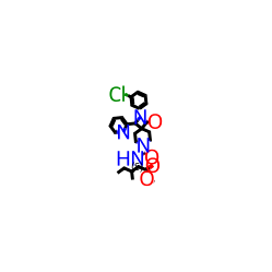 CCC(C)[C@H](NC(=O)N1CCC2(CC1)C(=O)N(c1cccc(Cl)c1)C2c1ccccn1)C(=O)OC